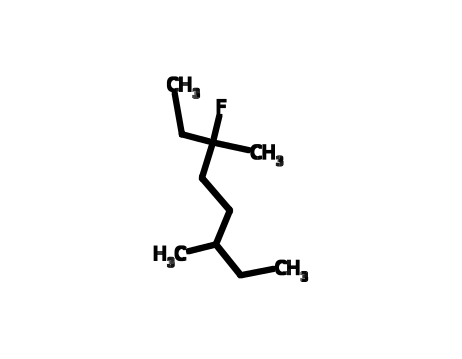 CCC(C)CCC(C)(F)CC